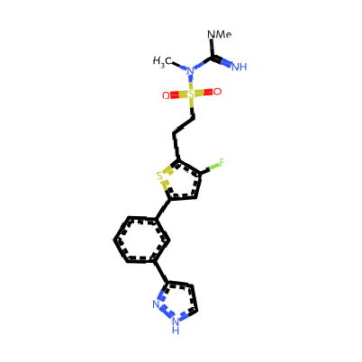 CNC(=N)N(C)S(=O)(=O)CCc1sc(-c2cccc(-c3cc[nH]n3)c2)cc1F